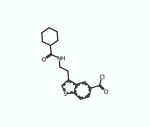 O=C(Cl)c1ccc2scc(CCNC(=O)C3CCCCC3)c2c1